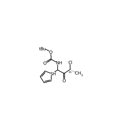 C[C@@H](Cl)C(=O)C(NC(=O)OC(C)(C)C)[SH]1C=CC=C1